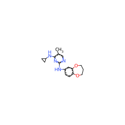 Cc1cnc(Nc2ccc3c(c2)OCCCO3)nc1NC1CC1